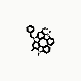 CCCCc1cc2c(c3c4ccccc4n(C)c13)c1c3c4ccccc4n(C)c3c(C)cc1n2Cc1ccccc1